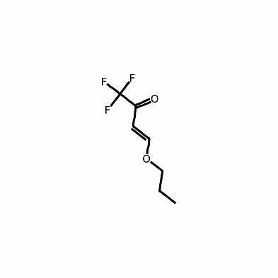 CCCOC=CC(=O)C(F)(F)F